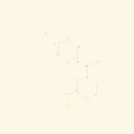 CCC(OC(=O)CS)C(=O)c1ccc(F)cc1